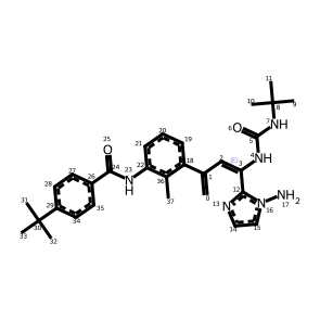 C=C(/C=C(/NC(=O)NC(C)(C)C)c1nccn1N)c1cccc(NC(=O)c2ccc(C(C)(C)C)cc2)c1C